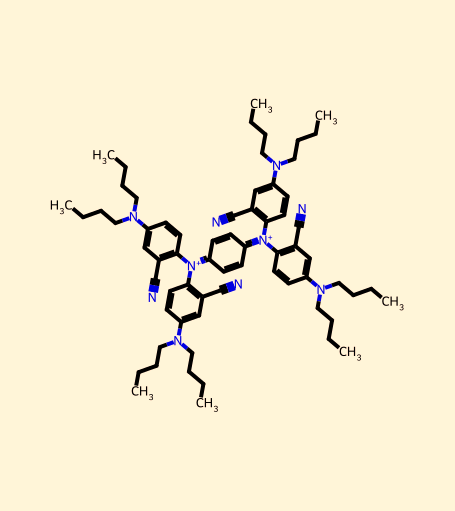 CCCCN(CCCC)c1ccc([N+](=C2C=CC(=[N+](c3ccc(N(CCCC)CCCC)cc3C#N)c3ccc(N(CCCC)CCCC)cc3C#N)C=C2)c2ccc(N(CCCC)CCCC)cc2C#N)c(C#N)c1